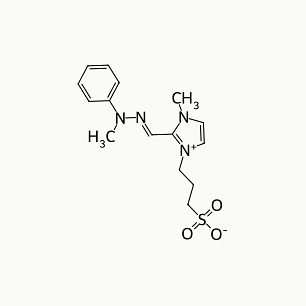 CN(/N=C/c1n(C)cc[n+]1CCCS(=O)(=O)[O-])c1ccccc1